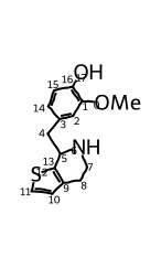 COc1cc(CC2NCCc3ccsc32)ccc1O